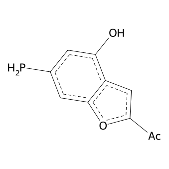 CC(=O)c1cc2c(O)cc(P)cc2o1